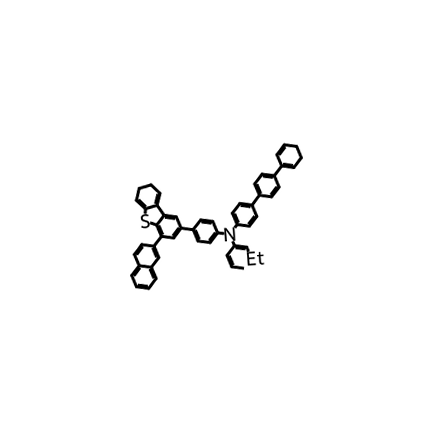 C/C=C\C(=C/CC)N(c1ccc(-c2ccc(C3=CCCC=C3)cc2)cc1)c1ccc(-c2cc(-c3ccc4ccccc4c3)c3sc4c(c3c2)=CCCC=4)cc1